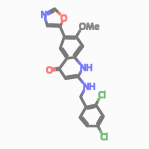 COc1cc2[nH]c(NCc3ccc(Cl)cc3Cl)cc(=O)c2cc1-c1cnco1